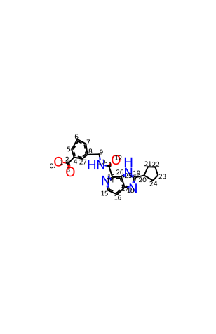 COC(=O)c1cccc(CNC(=O)c2nccc3nc(C4CCCC4)[nH]c23)c1